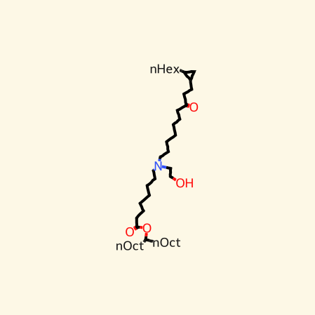 CCCCCCCCC(CCCCCCCC)OC(=O)CCCCCCCN(CCO)CCCCCCCC(=O)CCC1CC1CCCCCC